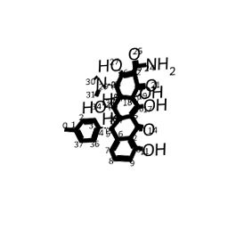 Cc1ccc([C@H]2c3cccc(O)c3C(=O)C3=C(O)[C@]4(O)C(=O)C(C(N)=O)=C(O)[C@@H](N(C)C)[C@@H]4[C@@H](O)[C@@H]32)cc1